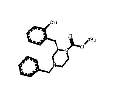 CC(C)(C)OC(=O)N1CCN(Cc2ccccc2)C[C@H]1Cc1ccccc1O